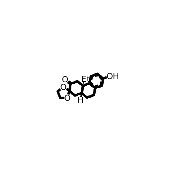 CC[C@@]12CC(=O)C3(C[C@H]1CCc1cc(O)ccc12)OCCO3